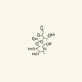 COC(C=O)C(CO)OC(C=O)OC1C(CO)OC(C)C(O)C1O